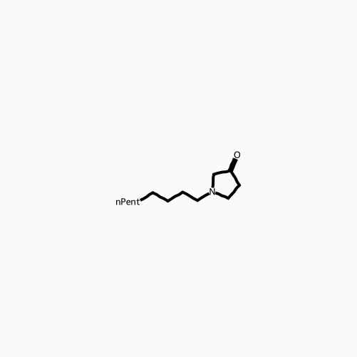 CCCCCCCCCN1CCC(=O)C1